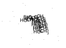 CCOC(C)=O.CO.CO.CO.CO.CO.CO.CO.CO.CO